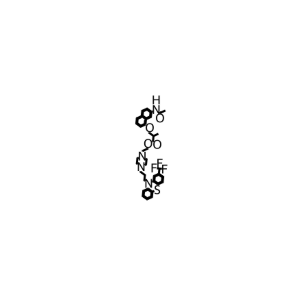 CC(=O)Nc1ccc2cccc(OCC(C)C(=O)OCCN3CCN(CCCN4c5ccccc5Sc5ccc(C(F)(F)F)cc54)CC3)c2c1